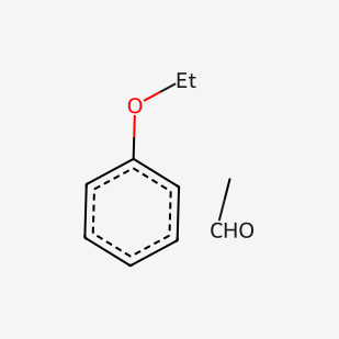 CC=O.CCOc1ccccc1